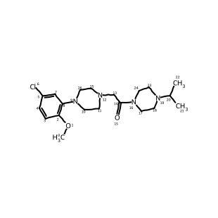 COc1ccc(Cl)cc1N1CCN(CC(=O)N2CCN(C(C)C)CC2)CC1